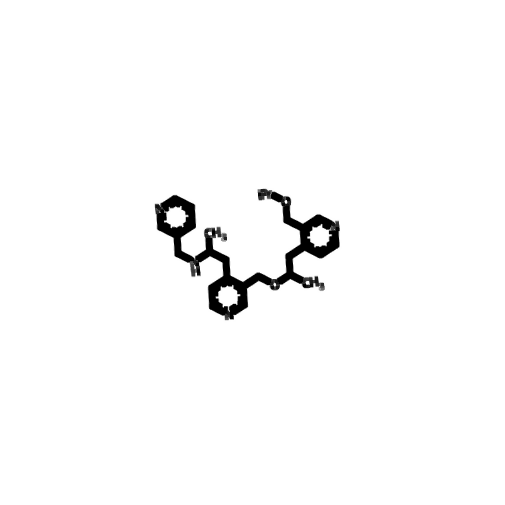 CC(Cc1ccncc1COC(C)Cc1ccncc1COC(C)C)NCc1cccnc1